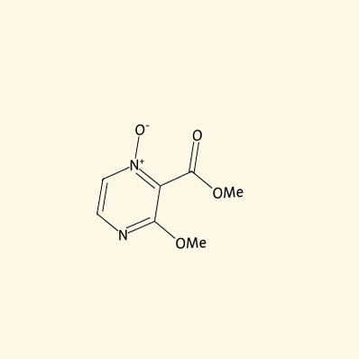 COC(=O)c1c(OC)ncc[n+]1[O-]